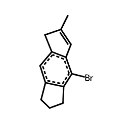 CC1=Cc2c(cc3c(c2Br)CCC3)C1